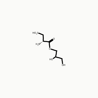 N[C@H](CS(=O)(=O)O)C(=O)OCC(O)CO